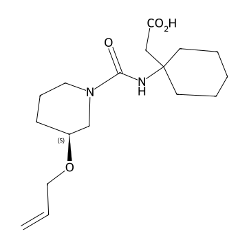 C=CCO[C@H]1CCCN(C(=O)NC2(CC(=O)O)CCCCC2)C1